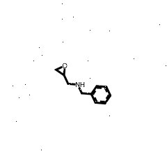 c1ccc(CNCC2CO2)cc1